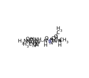 C=N/C=C(\C=N/CCN(CCNC)CCOCCC)C(=O)NCCCCNc1ncnc(NC)c1C(=N)c1ccc2oc(N)nc2c1